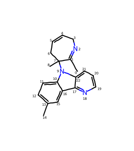 CC1=NCC=CCC1(C)n1c2ccc(C)cc2c2ncccc21